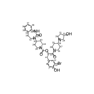 O=C(OC(Cc1ccc(O)c(Br)c1)C(=O)N1CCC(N2CCC(O)C2)CC1)N1CCC(N2CCc3ccccc3NC2=O)CC1